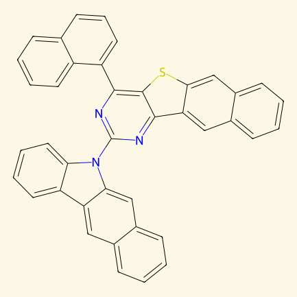 c1ccc2cc3c(cc2c1)sc1c(-c2cccc4ccccc24)nc(-n2c4ccccc4c4cc5ccccc5cc42)nc13